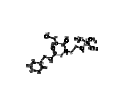 CC(C)(C)[Si](C)(C)OCCN(CC(=O)OCc1ccccc1)C(=O)OCCl